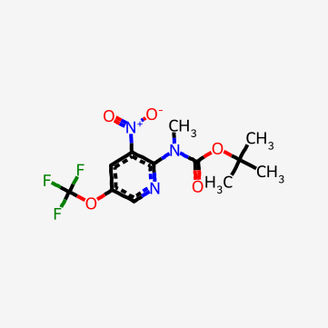 CN(C(=O)OC(C)(C)C)c1ncc(OC(F)(F)F)cc1[N+](=O)[O-]